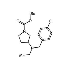 CC(C)CN(Cc1ccc(Cl)cc1)C1CCN(C(=O)OC(C)(C)C)C1